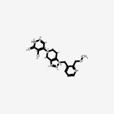 COCc1ncccc1Cn1nnc2c1CCN(c1cn[nH]c(=O)c1Cl)C2